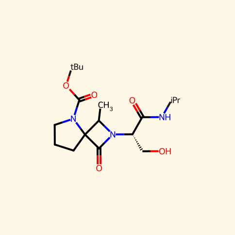 CC(C)NC(=O)[C@H](CO)N1C(=O)C2(CCCN2C(=O)OC(C)(C)C)C1C